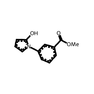 COC(=O)c1cccc(-n2cccc2O)c1